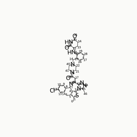 Cc1sc2c(c1C)C(c1ccc(Cl)cc1)=N[C@@H](CC(=O)N1CCN(Cc3ccccc3NC3CCC(=O)NC3=O)CC1)c1nnc(C)n1-2